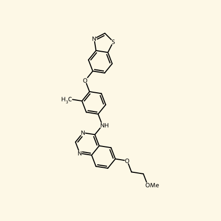 COCCOc1ccc2ncnc(Nc3ccc(Oc4ccc5scnc5c4)c(C)c3)c2c1